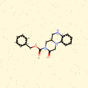 O=C1CN2c3ccccc3NCC2CN1C(=O)OCc1ccccc1